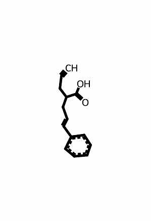 C#CCC(C/C=C/c1ccccc1)C(=O)O